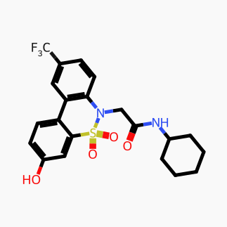 O=C(CN1c2ccc(C(F)(F)F)cc2-c2ccc(O)cc2S1(=O)=O)NC1CCCCC1